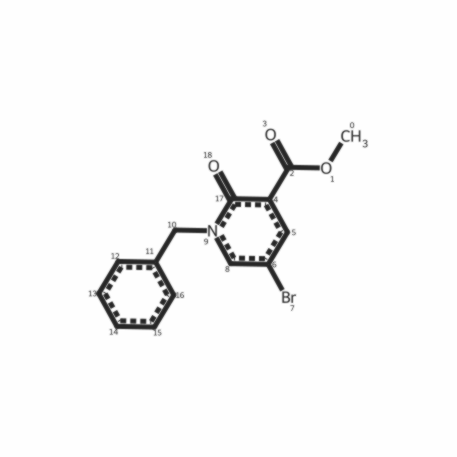 COC(=O)c1cc(Br)cn(Cc2ccccc2)c1=O